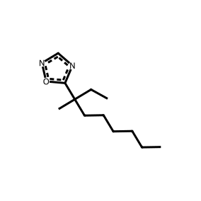 CCCCCCC(C)(CC)c1ncno1